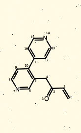 C=CC(=O)Cc1cnccc1-c1ccncc1